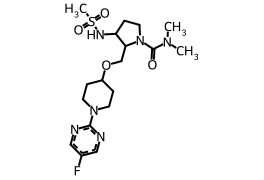 CN(C)C(=O)N1CCC(NS(C)(=O)=O)C1COC1CCN(c2ncc(F)cn2)CC1